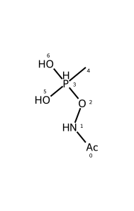 CC(=O)NO[PH](C)(O)O